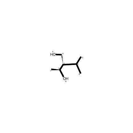 CC(C)[C@@H](CO)[C@H](C)O